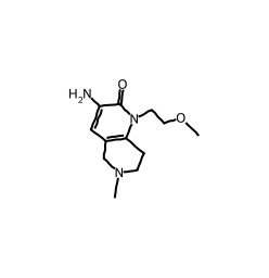 COCCn1c2c(cc(N)c1=O)CN(C)CC2